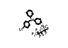 CCc1ccc([S+](c2ccccc2)c2ccccc2)cc1.O=S(=O)([O-])C(F)(F)C(F)(F)C(F)(F)C(F)(F)F